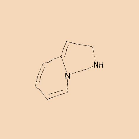 C1=CC2=CCNN2C=C1